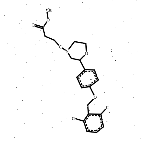 CC(C)(C)OC(=O)CCCN1CCOC(c2ccc(OCc3c(Cl)cccc3Cl)cc2)C1